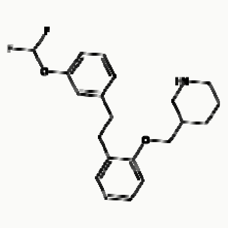 FC(F)Oc1cccc(CCc2ccccc2OCC2CCCNC2)c1